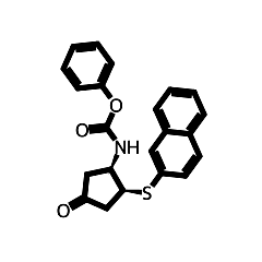 O=C1C[C@H](Sc2ccc3ccccc3c2)[C@H](NC(=O)Oc2ccccc2)C1